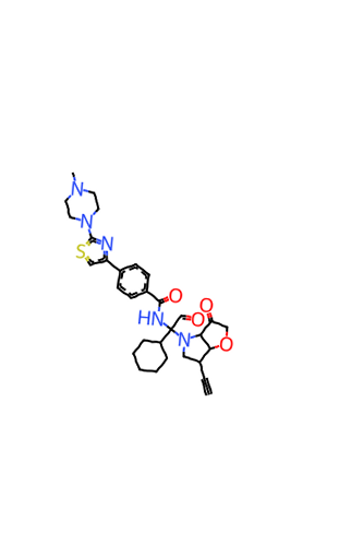 C#CC1CN(C(C=O)(NC(=O)c2ccc(-c3csc(N4CCN(C)CC4)n3)cc2)C2CCCCC2)C2C(=O)COC12